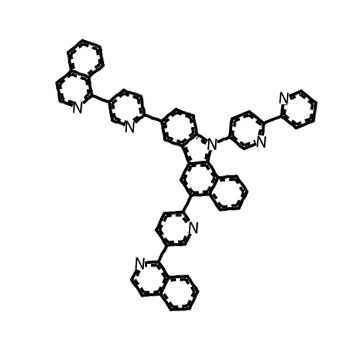 c1ccc(-c2ccc(-n3c4ccc(-c5ccc(-c6nccc7ccccc67)cn5)cc4c4cc(-c5ccc(-c6nccc7ccccc67)cn5)c5ccccc5c43)cn2)nc1